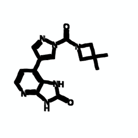 CC1(C)CN(C(=O)n2cc(-c3ccnc4[nH]c(=O)[nH]c34)cn2)C1